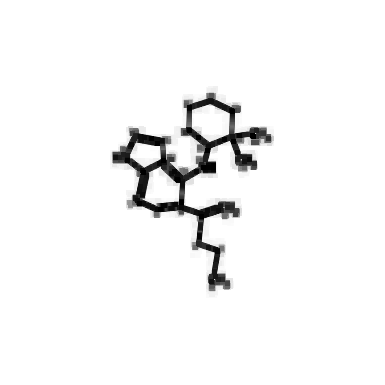 C=C(CCC)c1cnc2[nH]ccc2c1NC1CCCCC1(C)C